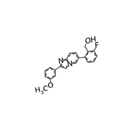 COc1cccc(-c2cn3cc(-c4cccc(F)c4CO)ccc3n2)c1